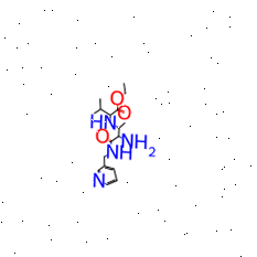 CCOC(=O)C(NC(C)C(N)C(=O)NCc1cccnc1)C(C)C